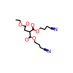 CCOC(=O)CC(C(=O)OCCCC#N)C(=O)OCCCC#N